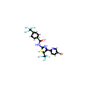 O=C(Nc1nc(-c2ccc(Br)cn2)c(C(F)(F)F)s1)c1ccc(C(F)(F)F)cc1